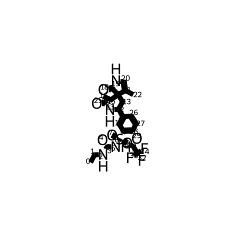 CCNC(=O)NS(=O)(=O)c1cc(C(CC2(CC)C(=O)NC=C2C)NC=O)ccc1OCC(F)(F)F